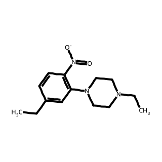 CCc1ccc([N+](=O)[O-])c(N2CCN(CC)CC2)c1